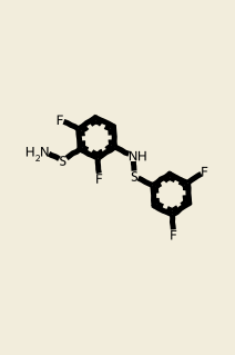 NSc1c(F)ccc(NSc2cc(F)cc(F)c2)c1F